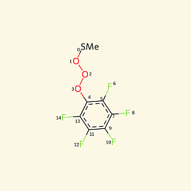 CSOOOc1c(F)c(F)c(F)c(F)c1F